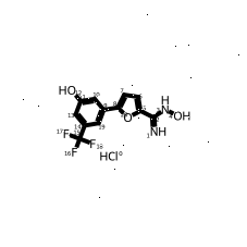 Cl.N=C(NO)c1ccc(-c2cc(O)cc(C(F)(F)F)c2)o1